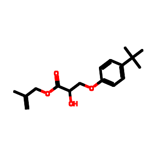 C=C(C)COC(=O)C(O)COc1ccc(C(C)(C)C)cc1